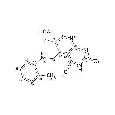 CC(=O)OCc1cnc2[nH]c(=O)[nH]c(=O)c2c1CNc1ccccc1C